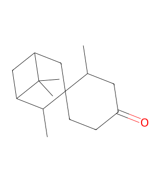 CC1CC(=O)CCC12CC1CC(C2C)C1(C)C